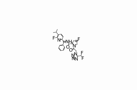 CC(C)c1ccc([C@@H](NC(=O)[C@@H]2C[C@@H](F)CN2C(=O)Cn2nnnc2C(F)F)c2ccccc2)nc1F